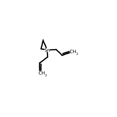 C=C[CH2][Sn]1([CH2]C=C)[CH2][CH2]1